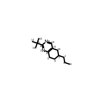 CCCC1CCc2nc(C(C)(C)C)ncc2C1